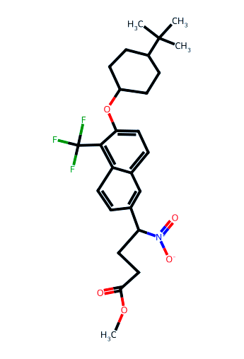 COC(=O)CCC(c1ccc2c(C(F)(F)F)c(OC3CCC(C(C)(C)C)CC3)ccc2c1)[N+](=O)[O-]